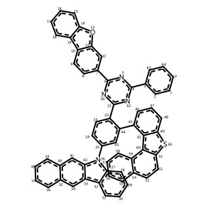 c1ccc(-c2nc(-c3ccc4c(c3)oc3ccccc34)nc(-c3ccc(-n4c5ccccc5c5cc6ccccc6cc54)cc3-c3cccc4sc5ccc6ccccc6c5c34)n2)cc1